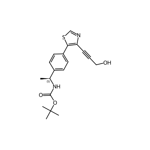 C[C@H](NC(=O)OC(C)(C)C)c1ccc(-c2scnc2C#CCO)cc1